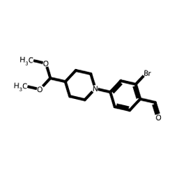 COC(OC)C1CCN(c2ccc(C=O)c(Br)c2)CC1